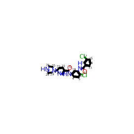 O=C(Nc1ccc(Cl)c(NC(=O)c2cccc(Cl)c2)c1)c1ccc(N2CCNCC2)nc1